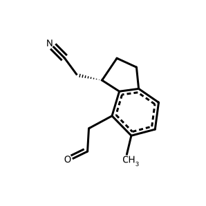 Cc1ccc2c(c1CC=O)[C@H](CC#N)CC2